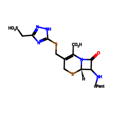 CCCCCNC1C(=O)N2C(C(=O)O)=C(CSc3nc(CS(=O)(=O)O)n[nH]3)CS[C@H]12